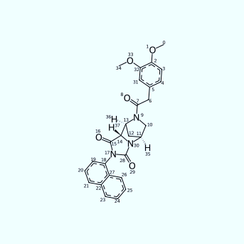 COc1ccc(CC(=O)N2C[C@@H]3C[C@H]2[C@H]2C(=O)N(c4cccc5ccccc45)C(=O)N32)cc1OC